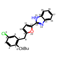 CC(C)COc1ccc(Cl)cc1Cc1ccc(-c2nc3ccccc3[nH]2)o1